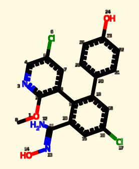 COc1ncc(Cl)cc1-c1c(/C(N)=N/O)cc(Cl)cc1-c1ccc(O)cc1